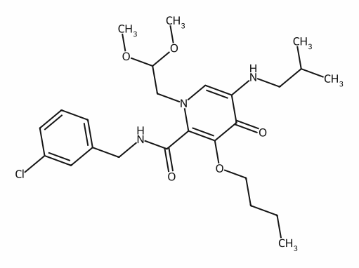 CCCCOc1c(C(=O)NCc2cccc(Cl)c2)n(CC(OC)OC)cc(NCC(C)C)c1=O